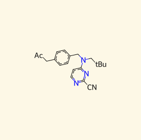 CC(=O)Cc1ccc(CN(CC(C)(C)C)c2ccnc(C#N)n2)cc1